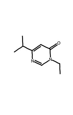 CCn1cnc(C(C)C)cc1=O